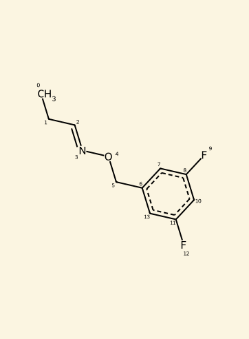 CCC=NOCc1cc(F)cc(F)c1